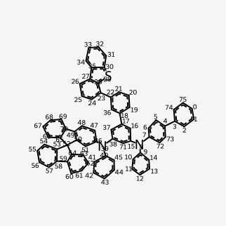 c1ccc(-c2ccc(N(c3ccccc3)c3cc(-c4cccc(-c5cccc6c5sc5ccccc56)c4)cc(N(c4ccccc4)c4ccc5c(c4)C4(c6ccccc6-c6ccccc64)c4ccccc4-5)c3)cc2)cc1